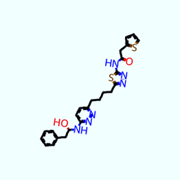 O=C(Cc1cccs1)Nc1nnc(CCCCc2ccc(NC(O)Cc3ccccc3)nn2)s1